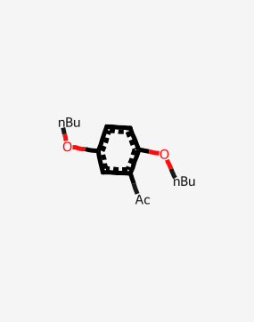 CCCCOc1ccc(OCCCC)c(C(C)=O)c1